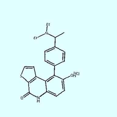 CCN(CC)C(C)c1ccc(-c2c(O)ccc3[nH]c(=O)c4sccc4c23)cc1.Cl